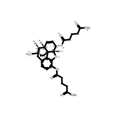 CC(=O)OC(=O)CCCC(=O)Oc1ccc2c3c1O[C@H]1[C@@H](OC(=O)CCCC(=O)OC(C)=O)C=C[C@H]4[C@@H](C2)N(C)CCC341